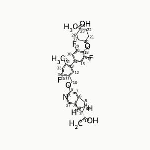 C=C(O)[C@H]1[C@@H]2Cc3cc(OCc4cc(-c5cc(F)c(OC6CCC(C)(O)CC6)c(F)c5)c(C)cc4F)ncc3[C@@H]21